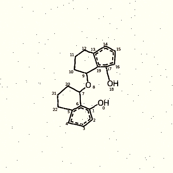 Oc1cccc2c1C(OC1CCCc3cccc(O)c31)CCC2